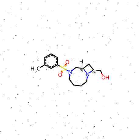 Cc1cccc(S(=O)(=O)N2CCCCN3[C@H](CO)C[C@@H]3C2)c1